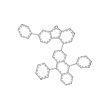 c1ccc(-c2ccc3c(c2)oc2cccc(-c4ccc5c(-c6ccccc6)c6ccccc6c(-c6ccccc6)c5c4)c23)cc1